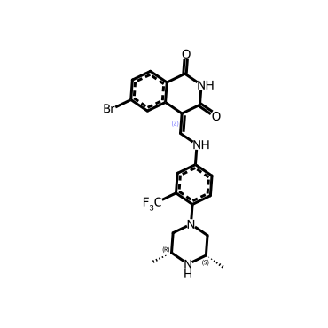 C[C@@H]1CN(c2ccc(N/C=C3\C(=O)NC(=O)c4ccc(Br)cc43)cc2C(F)(F)F)C[C@H](C)N1